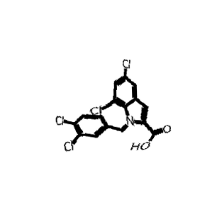 O=C(O)c1cc2cc(Cl)cc(Cl)c2n1Cc1ccc(Cl)c(Cl)c1